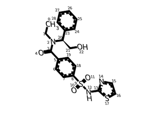 CCN(C(=O)c1ccc(S(=O)(=O)Nc2nccs2)cc1)[C@H](CO)c1ccccc1